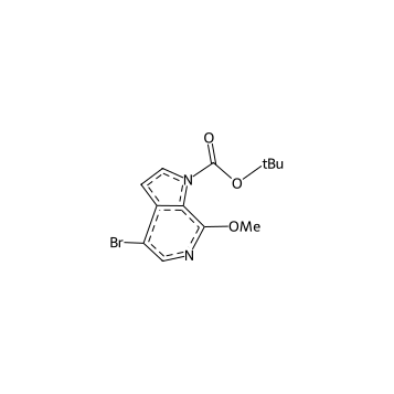 COc1ncc(Br)c2ccn(C(=O)OC(C)(C)C)c12